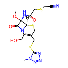 CO[C@@]1(NC(=O)CSCC#N)C(=O)N2C(CO)=C(CSc3nnnn3C)CS[C@@H]21